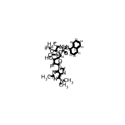 Cc1nc(N(C)C)c2ncn([C@@H]3O[C@](CCl)(CO[P@](=O)(N[C@@H](C)C(=O)OC(C)C)Oc4cccc5ccccc45)[C@@H](O)[C@@H]3F)c2n1